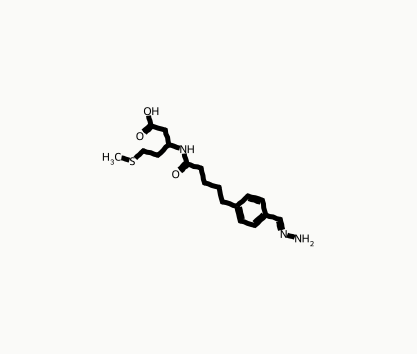 CSCCC(CC(=O)O)NC(=O)CCCCc1ccc(C=NN)cc1